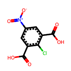 O=C(O)c1cc([N+](=O)[O-])cc(C(=O)O)c1Cl